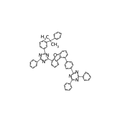 CC(C)(c1ccccc1)c1cccc(-c2nc(-c3ccccc3)nc(-c3cccc4c3oc3cccc(-c5ccc(-c6nc(-c7ccccc7)nc(-c7ccccc7)n6)cc5)c34)n2)c1